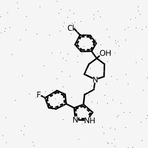 OC1(c2ccc(Cl)cc2)CCN(CCc2c[nH]nc2-c2ccc(F)cc2)CC1